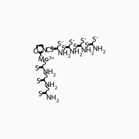 NC(=S)[S-].NC(=S)[S-].NC(=S)[S-].NC(=S)[S-].NC(=S)[S-].NC(=S)[S-].NC(=S)[S-].[C+4].[Mo+3][c]1ncco1